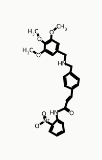 COc1cc(CNCc2ccc(C=CC(=O)Nc3ccccc3[N+](=O)[O-])cc2)cc(OC)c1OC